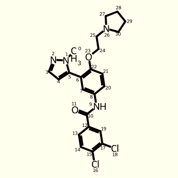 Cn1nccc1-c1cc(NC(=O)c2ccc(Cl)c(Cl)c2)ccc1OCCN1CCCC1